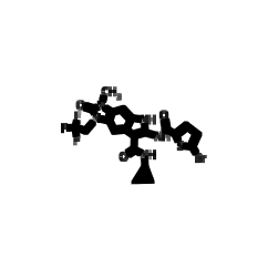 Cn1c(=O)n(CC(F)(F)F)c2cc3c(C(=O)NC4CC4)c(NC(=O)c4ccc(Br)s4)[nH]c3cc21